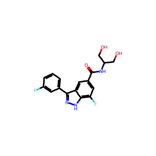 O=C(NC(CO)CO)c1cc(F)c2[nH]nc(-c3cccc(F)c3)c2c1